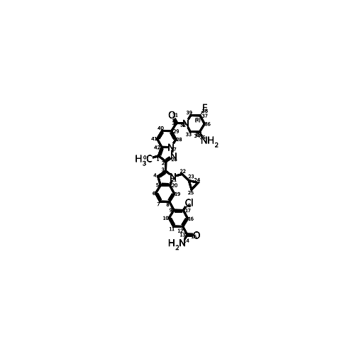 Cc1c(-c2cc3ccc(-c4ccc(C(N)=O)cc4Cl)cc3n2CC2CC2)nn2cc(C(=O)N3C[C@H](N)C[C@@H](F)C3)ccc12